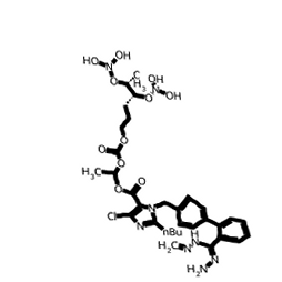 C=NN/C(=N\N)c1ccccc1-c1ccc(Cn2c(CCCC)nc(Cl)c2C(=O)OC(C)OC(=O)OCCC[C@@H](ON(O)O)[C@@H](C)ON(O)O)cc1